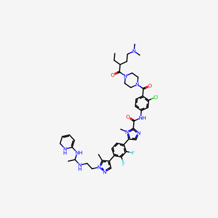 CCC(CCN(C)C)C(=O)N1CCN(C(=O)c2ccc(NC(=O)c3ncc(-c4ccc(-c5cnn(CCNC(C)NC6=CC=CCN6)c5C)c(F)c4F)n3C)cc2Cl)CC1